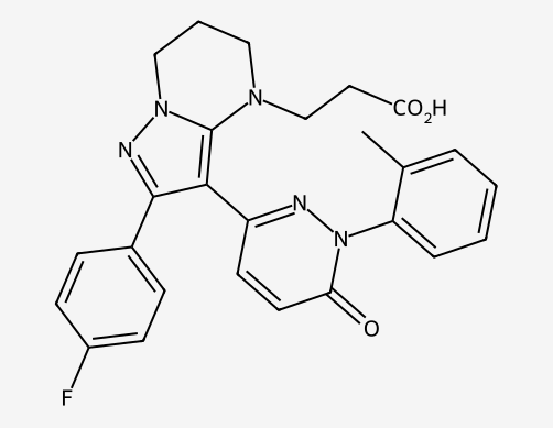 Cc1ccccc1-n1nc(-c2c(-c3ccc(F)cc3)nn3c2N(CCC(=O)O)CCC3)ccc1=O